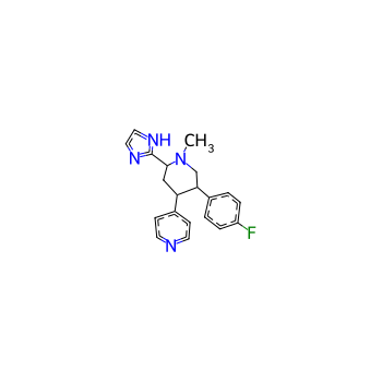 CN1CC(c2ccc(F)cc2)C(c2ccncc2)CC1c1ncc[nH]1